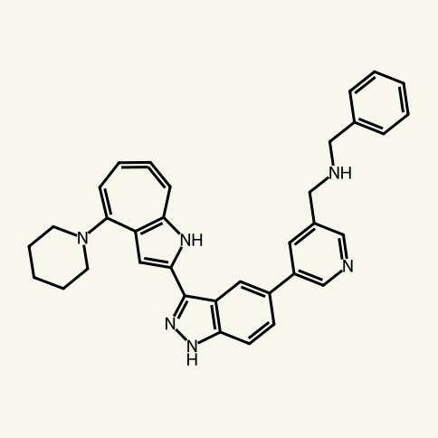 C1=CC=C(N2CCCCC2)c2cc(-c3n[nH]c4ccc(-c5cncc(CNCc6ccccc6)c5)cc34)[nH]c2C=1